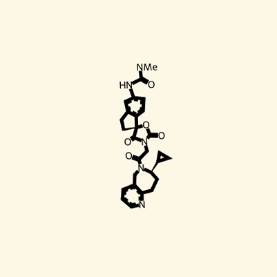 CNC(=O)Nc1ccc2c(c1)CC[C@]21OC(=O)N(CC(=O)N2Cc3cccnc3CC[C@@H]2C2CC2)C1=O